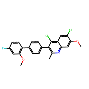 COc1cc2nc(C)c(-c3ccc(-c4ccc(F)cc4OC)cc3)c(Cl)c2cc1Cl